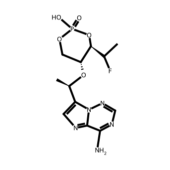 CC(F)[C@@H]1OP(=O)(O)OC[C@H]1O[C@H](C)c1cnc2c(N)ncnn12